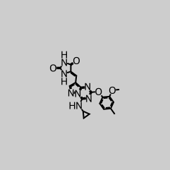 COc1cc(C)ccc1Oc1nc(NC2CC2)n2ncc(/C=C3\NC(=O)NC3=O)c2n1